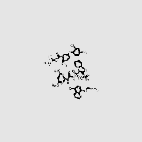 CCOC(=O)C(C)OC(=O)c1cc(Oc2ccc(C(F)(F)F)cc2Cl)ccc1[N+](=O)[O-].CCS(=O)(=O)c1nc2ccccn2c1S(=O)(=O)NC(=O)Nc1nc(OC)cc(OC)n1.O=C(O)COc1ccc(Cl)c2cccnc12